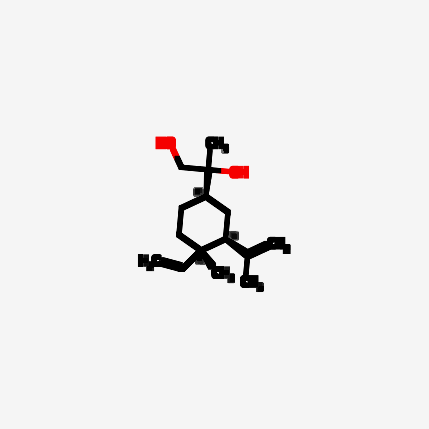 C=C[C@]1(C)CC[C@@H](C(C)(O)CO)C[C@H]1C(=C)C